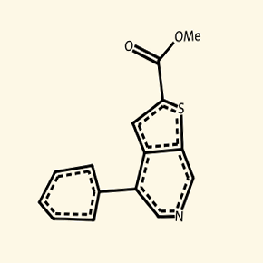 COC(=O)c1cc2c(-c3ccccc3)cncc2s1